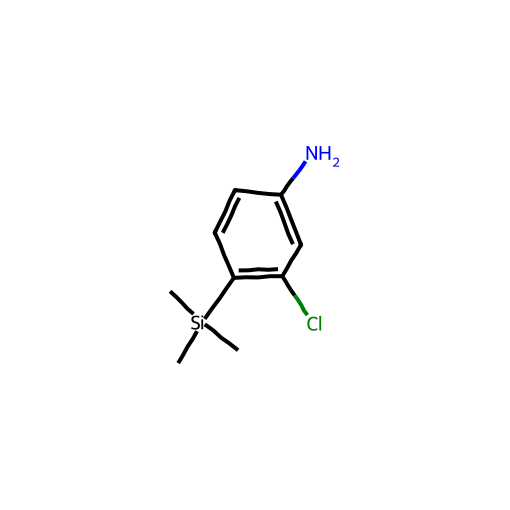 C[Si](C)(C)c1ccc(N)cc1Cl